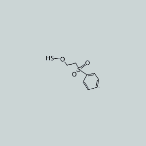 O=S(=O)(CCOS)c1cc[c]cc1